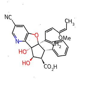 C=C(/C=C\C(=C/C)OC)[C@@]12Oc3cc(C#N)cnc3[C@]1(O)[C@H](O)[C@H](C(=O)O)[C@H]2c1ccccc1